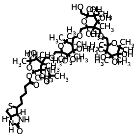 CC(=O)NC1(C)C(C)(COC[C@@]2(C)OC(C)(C)[C@@](C)(COC[C@]3(C)OC(C)(CO)C(C)(O)C(C)(O)C3(C)COC[C@]3(C)OC(C)(C)C(C)(O)C(C)(O)C3(C)O)C(C)(O)C2(C)O)[C@](C)(O)C(C)(C)O[C@@]1(C)OC(=O)CCCCC1SC[C@@H]2NC(=O)N[C@H]12